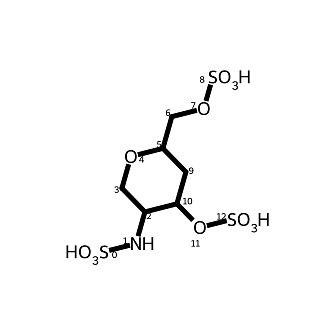 O=S(=O)(O)NC1COC(COS(=O)(=O)O)CC1OS(=O)(=O)O